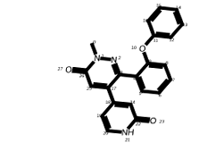 Cn1nc(-c2ccccc2Oc2ccccc2)c(-c2cc[nH]c(=O)c2)cc1=O